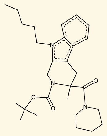 CCCCCn1c2c(c3ccccc31)CC(C)(C(=O)N1CCCCC1)N(C(=O)OC(C)(C)C)C2